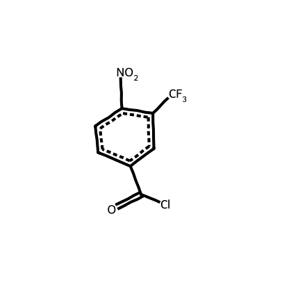 O=C(Cl)c1ccc([N+](=O)[O-])c(C(F)(F)F)c1